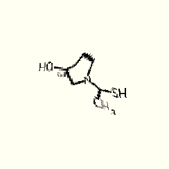 CC(S)N1CC[C@H](O)C1